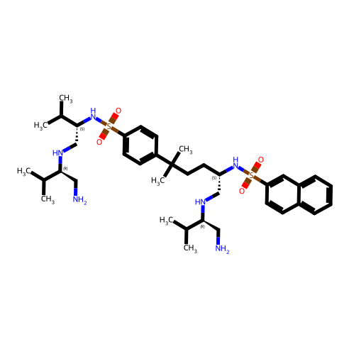 CC(C)[C@H](CN)NC[C@H](CCC(C)(C)c1ccc(S(=O)(=O)N[C@H](CN[C@@H](CN)C(C)C)C(C)C)cc1)NS(=O)(=O)c1ccc2ccccc2c1